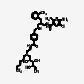 CCCCCCN(CCNC(=O)c1ccc(CNCC(CNC(=O)c2nc(Cl)c(N)nc2N)Cc2ccccc2C)cc1)C[C@@H](O)[C@H](O)[C@@H](O)CO